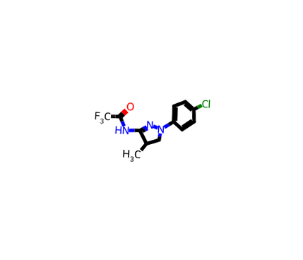 CC1CN(c2ccc(Cl)cc2)N=C1NC(=O)C(F)(F)F